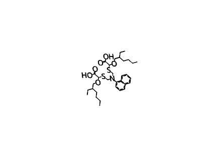 CCCCC(CC)COC(SCN(CSC(OCC(CC)CCCC)C(=O)O)c1cccc2ccccc12)C(=O)O